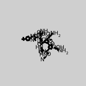 COc1c(OC[C@H](O)CN)cc2cc1-c1cc(cc(OC[C@H](O)CN)c1OC)[C@H](N(C)C(=O)[C@H](CNS(N)(=O)=O)NC(=O)c1c(C)nc(-c3ccc(C(C)(C)C)cc3)nc1C)C(=O)N[C@@H](C)C(=O)N[C@H](C(=O)NCC#N)C2